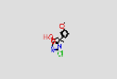 COc1cccc(C(C)(CC(=O)O)c2ccnc(Cl)n2)c1